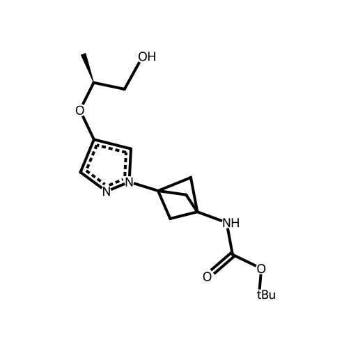 C[C@@H](CO)Oc1cnn(C23CC(NC(=O)OC(C)(C)C)(C2)C3)c1